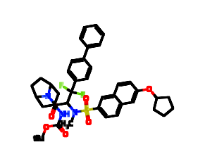 CN(C(C(=O)N1C2CCC1CC(NC(=O)OC(C)(C)C)C2)C(F)(F)c1ccc(-c2ccccc2)cc1)S(=O)(=O)c1ccc2cc(OC3CCCC3)ccc2c1